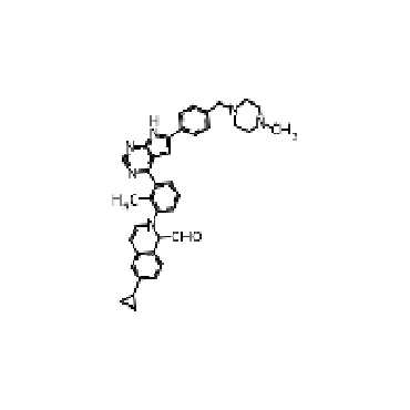 Cc1c(-c2ncnc3[nH]c(-c4ccc(CN5CCN(C)CC5)cc4)cc23)cccc1N1C=Cc2cc(C3CC3)ccc2C1C=O